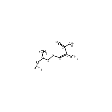 COC(C)CCC=C(C)C(=O)O